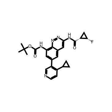 CC(C)(C)OC(=O)Nc1cc(-c2cnccc2C2CC2)cc2cc(NC(=O)[C@@H]3C[C@@H]3F)nnc12